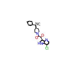 [C-]#[N+]C(=C1CCN(C(=O)C(=O)c2c[nH]c3c(Cl)ccnc23)CC1)c1ccccc1